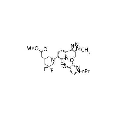 CCCn1ccc(=O)c(OCc2c(-c3ccc(N4CC(CC(=O)OC)CC(F)(F)C4)c(CC)n3)nnn2C)n1